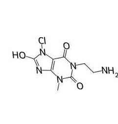 Cn1c(=O)n(CCN)c(=O)c2c1nc(O)n2Cl